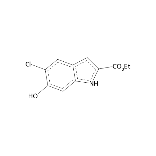 CCOC(=O)c1cc2cc(Cl)c(O)cc2[nH]1